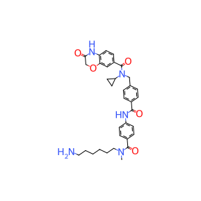 CN(CCCCCCN)C(=O)c1ccc(NC(=O)c2ccc(CN(C(=O)c3ccc4c(c3)OCC(=O)N4)C3CC3)cc2)cc1